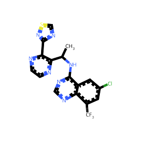 CC(Nc1ncnc2c(C(F)(F)F)cc(Cl)cc12)c1nccnc1-c1ncsn1